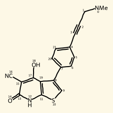 CNCC#Cc1ccc(-c2csc3[nH]c(=O)c(C#N)c(O)c23)cc1